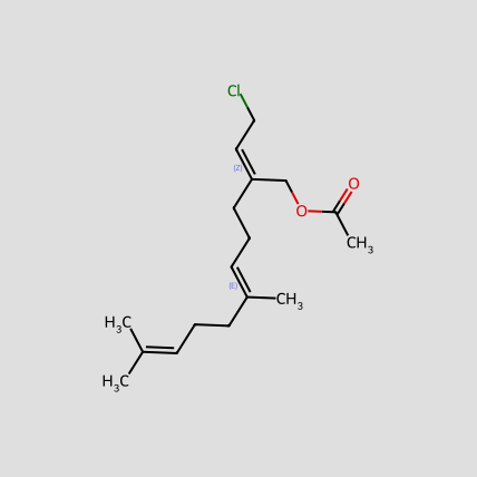 CC(=O)OC/C(=C\CCl)CC/C=C(\C)CCC=C(C)C